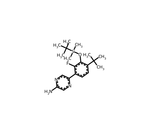 CC(C)(C)c1ccc(-c2cnc(N)cn2)c(F)c1O[Si](C)(C)C(C)(C)C